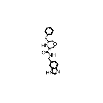 O=C(NCc1ccc2nc[nH]c2c1)[C@H]1[CH]OCC(Sc2ccccc2)N1